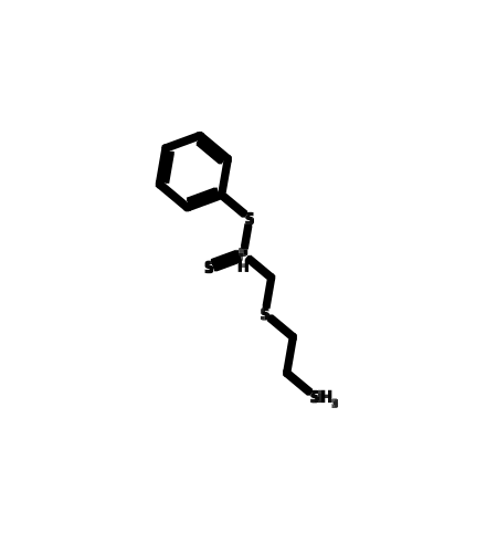 [SiH3]CCSC[PH](=S)Sc1ccccc1